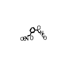 O=C=NCC(=O)c1cccc(C(=O)CN=C=O)c1